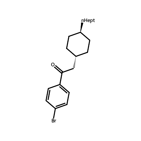 CCCCCCC[C@H]1CC[C@H](CC(=O)c2ccc(Br)cc2)CC1